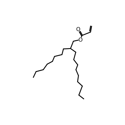 C=CC(=O)OCC(CCCCCCCC)CCCCCCCCC